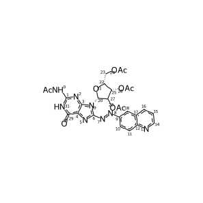 CC(=O)Nc1nc2c(nc(/N=N/c3ccc4ncccc4c3)n2[C@@H]2O[C@H](COC(C)=O)[C@H](OC(C)=O)C2OC(C)=O)c(=O)[nH]1